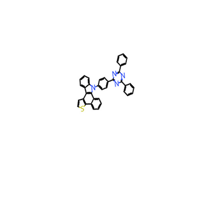 c1ccc(-c2nc(-c3ccccc3)nc(-c3ccc(-n4c5ccccc5c5c6ccsc6c6ccccc6c54)cc3)n2)cc1